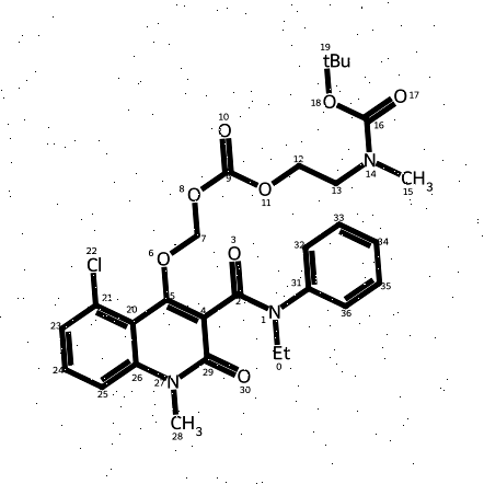 CCN(C(=O)c1c(OCOC(=O)OCCN(C)C(=O)OC(C)(C)C)c2c(Cl)cccc2n(C)c1=O)c1ccccc1